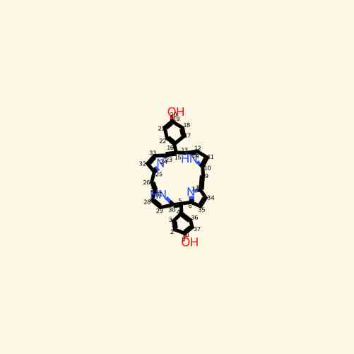 Oc1ccc(-c2c3nc(cc4ccc([nH]4)c(-c4ccc(O)cc4)c4nc(cc5ccc2[nH]5)C=C4)C=C3)cc1